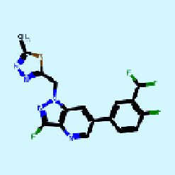 Cc1nnc(Cn2nc(F)c3ncc(-c4ccc(F)c(C(F)F)c4)cc32)s1